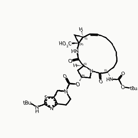 CC(C)(C)Nc1nc2c(s1)CN(C(=O)O[C@@H]1C[C@H]3C(=O)N[C@]4(C(=O)O)C[C@H]4C=CCCCCC[C@H](NC(=O)OC(C)(C)C)C(=O)N3C1)CC2